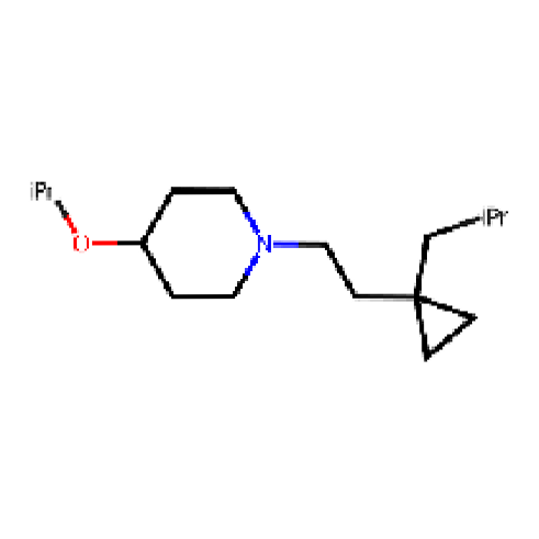 CC(C)CC1(CCN2CCC(OC(C)C)CC2)CC1